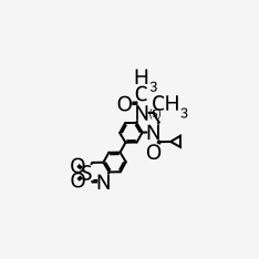 CC(=O)N1c2ccc(-c3ccc4c(c3)CS(=O)(=O)C=N4)cc2N(C(=O)C2CC2)C[C@@H]1C